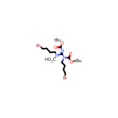 CC(C)(C)OC(=O)/N=C(\N(CCCCBr)C(=O)O)N(CCCCBr)C(=O)OC(C)(C)C